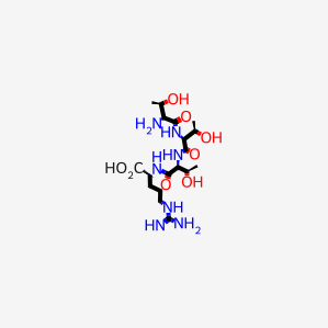 C[C@@H](O)[C@H](N)C(=O)N[C@H](C(=O)N[C@H](C(=O)N[C@@H](CCCNC(=N)N)C(=O)O)[C@@H](C)O)[C@@H](C)O